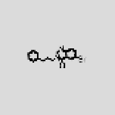 O=c1c2cc(Br)ccc2ncn1CCCc1ccccc1